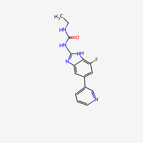 CCNC(=O)Nc1nc2cc(-c3cccnc3)cc(F)c2[nH]1